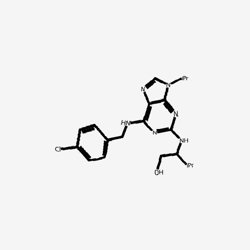 CC(C)C(CO)Nc1nc(NCc2ccc(Cl)cc2)c2ncn(C(C)C)c2n1